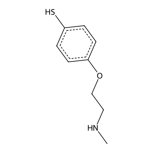 CNCCOc1ccc(S)cc1